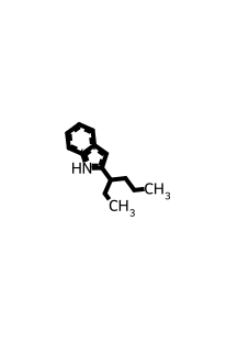 CCCC(CC)c1cc2ccccc2[nH]1